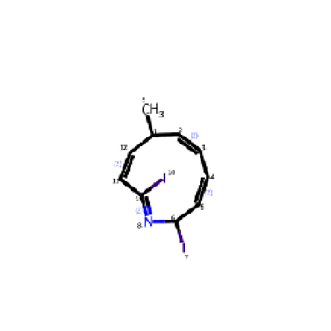 CC1/C=C\C=C/C(I)/N=C(I)/C=C\1